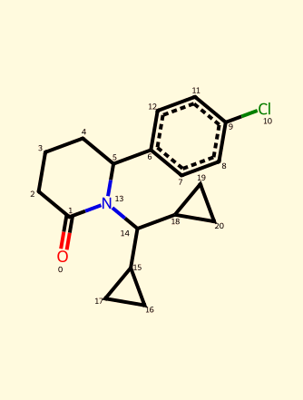 O=C1CCCC(c2ccc(Cl)cc2)N1C(C1CC1)C1CC1